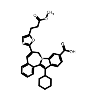 COC(=O)CCc1cnc(C2=Cc3ccccc3-c3c(C4CCCCC4)c4ccc(C(=O)O)cc4n3C2)o1